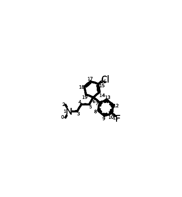 CN(C)CCCC1(c2ccc(F)cc2)C=C(Cl)C=CC1